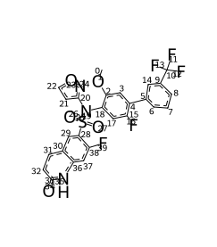 COc1cc(-c2cccc(C(F)(F)F)c2)c(F)cc1N(c1ccon1)S(=O)(=O)c1cc2ccc(=O)[nH]c2cc1F